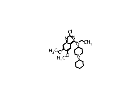 CCN(c1nc(Cl)nc2cc(OC)c(OC)cc12)C1CCN(C2CCCCC2)CC1